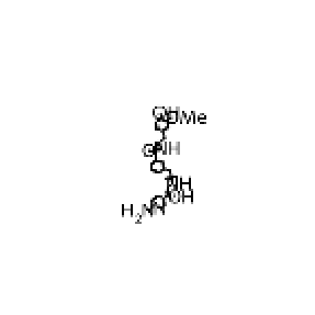 COc1cc(CCNC(=O)c2cccc(CC(C)(C)NC[C@H](O)c3ccc(N)nc3)c2)ccc1O